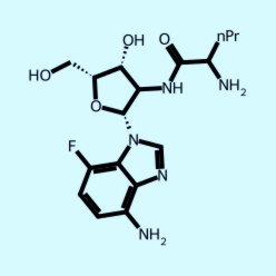 CCCC(N)C(=O)NC1[C@@H](O)[C@@H](CO)O[C@H]1n1cnc2c(N)ccc(F)c21